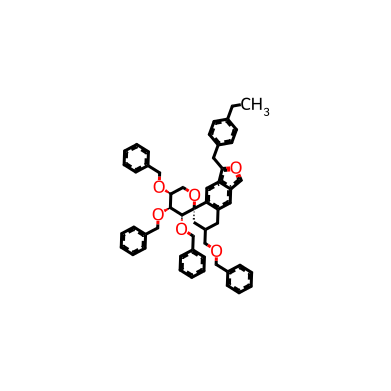 CCc1ccc(Cc2occ3cc4c(cc23)[C@]2(CC(COCc3ccccc3)C4)OC[C@H](OCc3ccccc3)[C@H](OCc3ccccc3)[C@H]2OCc2ccccc2)cc1